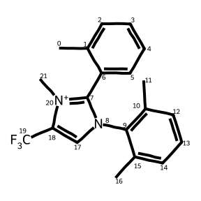 Cc1ccccc1-c1n(-c2c(C)cccc2C)cc(C(F)(F)F)[n+]1C